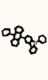 C1=CC(c2c3ccccc3c(-c3ccc4c(c3)c3ccccc3n4C3=CCCCC3)c3ccccc23)=CCC1